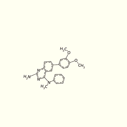 COc1ccc(-c2ccc3nc(N)nc(N(C)c4ccccc4)c3c2)cc1OC